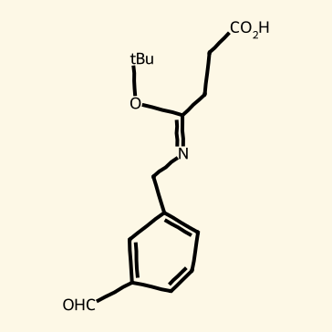 CC(C)(C)OC(CCC(=O)O)=NCc1cccc(C=O)c1